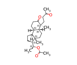 CC(=O)CC[C@]1(C)C(=O)CC[C@@H]2[C@H]1CC[C@]1(C)[C@@H]([C@H](C)OC(C)=O)CC[C@@H]21